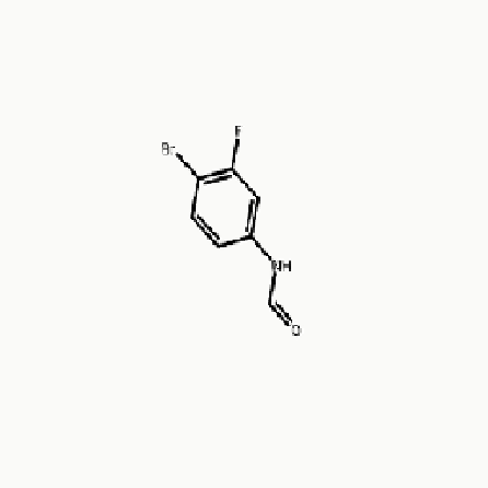 O=CNc1ccc(Br)c(F)c1